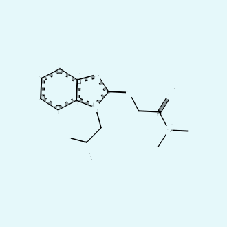 C[C@H](O)Cn1c(SCC(=O)N(C)C)nc2ccccc21